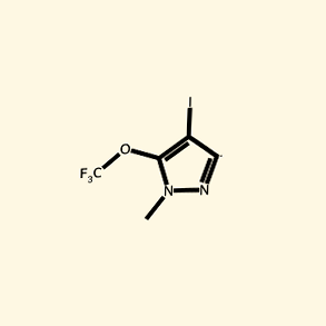 Cn1n[c]c(I)c1OC(F)(F)F